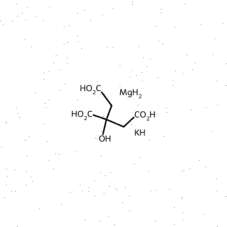 O=C(O)CC(O)(CC(=O)O)C(=O)O.[KH].[MgH2]